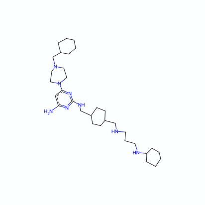 Nc1cc(N2CCN(CC3CCCCC3)CC2)nc(NCC2CCC(CNCCCNC3CCCCC3)CC2)n1